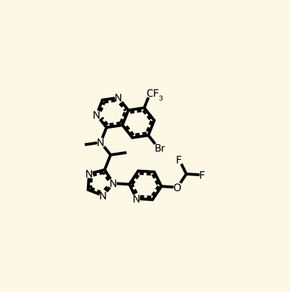 CC(c1ncnn1-c1ccc(OC(F)F)cn1)N(C)c1ncnc2c(C(F)(F)F)cc(Br)cc12